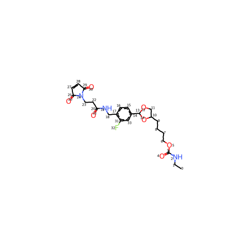 CCNC(=O)OCCCCC1COC(c2ccc(CNC(=O)CCN3C(=O)C=CC3=O)c(F)c2)O1